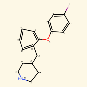 Ic1ccc(Oc2ccccc2CC2CCNCC2)cc1